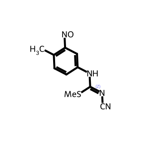 CS/C(=N\C#N)Nc1ccc(C)c(N=O)c1